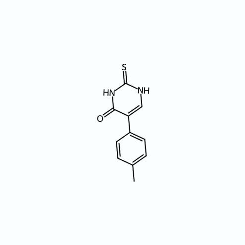 Cc1ccc(-c2c[nH]c(=S)[nH]c2=O)cc1